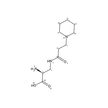 N[C@@H](CNC(=O)CCN1CCCCC1)C(=O)O